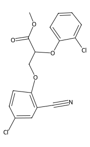 COC(=O)C(COc1ccc(Cl)cc1C#N)Oc1ccccc1Cl